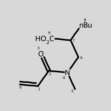 C=CC(=O)N(C)CC(CCCC)C(=O)O